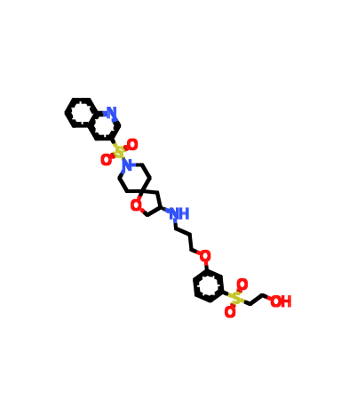 O=S(=O)(CCO)c1cccc(OCCCN[C@H]2COC3(CCN(S(=O)(=O)c4cnc5ccccc5c4)CC3)C2)c1